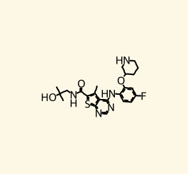 Cc1c(C(=O)NCC(C)(C)O)sc2ncnc(Nc3ccc(F)cc3OC3CCCNC3)c12